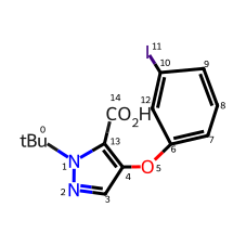 CC(C)(C)n1ncc(Oc2cccc(I)c2)c1C(=O)O